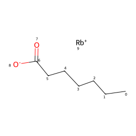 CCCCCCC(=O)[O-].[Rb+]